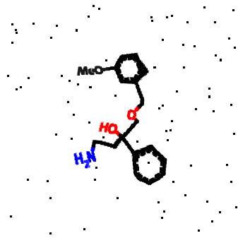 COc1cccc(COCC(O)(CCN)c2ccccc2)c1